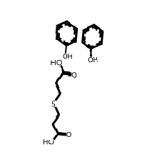 O=C(O)CCSCCC(=O)O.Oc1ccccc1.Oc1ccccc1